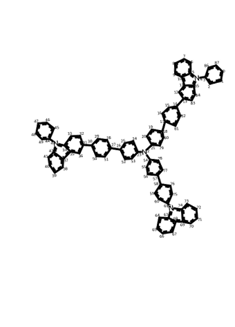 c1ccc(-n2c3ccccc3c3cc(-c4ccc(-c5ccc(N(c6ccc(-c7ccc(-c8ccc9c(c8)c8ccccc8n9-c8ccccc8)cc7)cc6)c6ccc(-c7ccc(-n8c9ccccc9c9ccccc98)cc7)cc6)cc5)cc4)ccc32)cc1